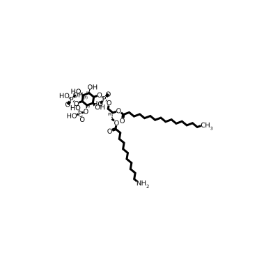 CCCCCCCCCCCCCCCC(=O)O[C@H](COC(=O)CCCCCCCCCCN)COP(=O)(O)OC1C(O)[C@H](OP(=O)(O)O)C(OP(=O)(O)O)[C@H](O)[C@@H]1O